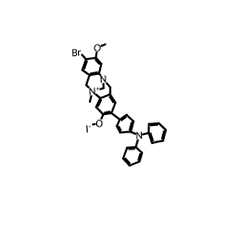 COc1cc2c(cc1Br)C[N+]1(C)CN2Cc2cc(-c3ccc(N(c4ccccc4)c4ccccc4)cc3)c(OC)cc21.[I-]